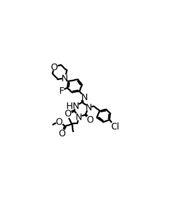 COC(=O)C(C)(C)Cn1c(=O)[nH]/c(=N\c2ccc(N3CCOCC3)c(F)c2)n(Cc2ccc(Cl)cc2)c1=O